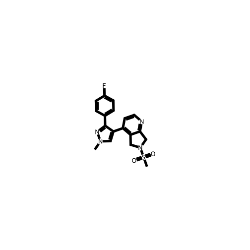 Cn1cc(-c2ccnc3c2CN(S(C)(=O)=O)C3)c(-c2ccc(F)cc2)n1